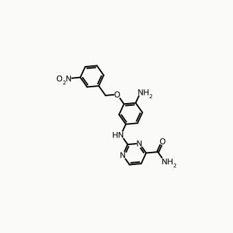 NC(=O)c1ccnc(Nc2ccc(N)c(OCc3cccc([N+](=O)[O-])c3)c2)n1